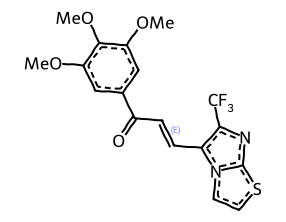 COc1cc(C(=O)/C=C/c2c(C(F)(F)F)nc3sccn23)cc(OC)c1OC